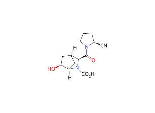 N#C[C@@H]1CCCN1C(=O)[C@@H]1[C@H]2C[C@H]([C@@H](O)C2)N1C(=O)O